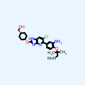 CNCC(C)(C)Oc1ccc(-c2nc3nc(O[C@H]4CC[C@H](CO)CC4)[nH]c3cc2Cl)cc1N